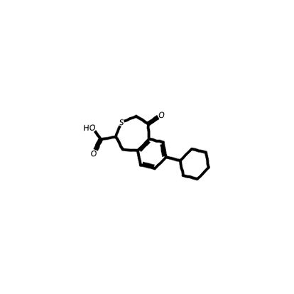 O=C1CSC(C(=O)O)Cc2ccc(C3CCCCC3)cc21